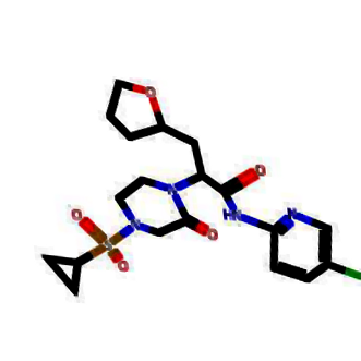 O=C(Nc1ccc(F)cn1)C(CC1CCCO1)N1CCN(S(=O)(=O)C2CC2)CC1=O